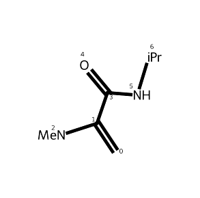 C=C(NC)C(=O)NC(C)C